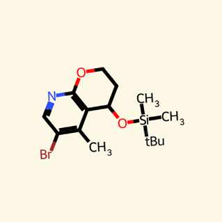 Cc1c(Br)cnc2c1C(O[Si](C)(C)C(C)(C)C)CCO2